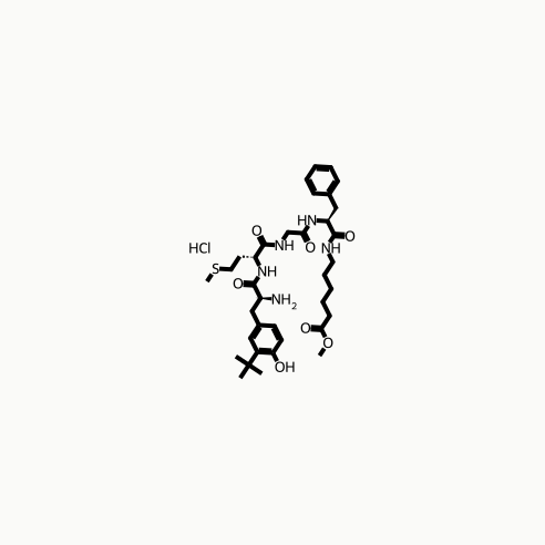 COC(=O)CCCCCNC(=O)[C@H](Cc1ccccc1)NC(=O)CNC(=O)[C@@H](CCSC)NC(=O)[C@@H](N)Cc1ccc(O)c(C(C)(C)C)c1.Cl